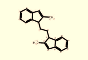 CC1=Cc2ccccc2C1CCC1C(C)=Cc2ccccc21